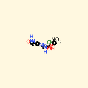 CC1CC(=O)NN=C1c1ccc(NCC(C)(C)NCC(O)COc2cccc([N+](=O)[O-])c2Cl)cc1